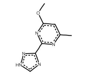 COc1cc(C)nc(-c2nc[nH]n2)n1